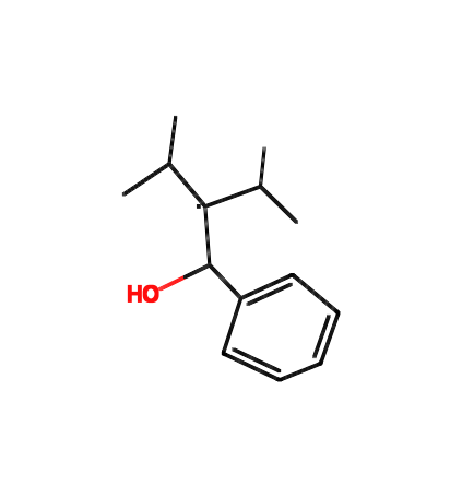 CC(C)[C](C(C)C)C(O)c1ccccc1